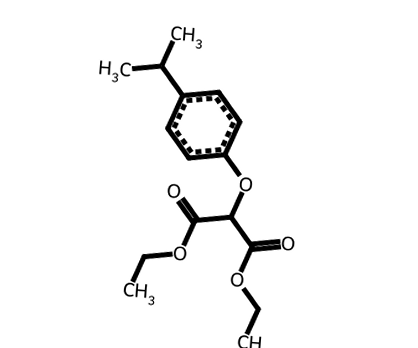 CCOC(=O)C(Oc1ccc(C(C)C)cc1)C(=O)OCC